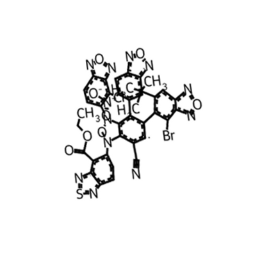 CCOC(=O)c1c(N2ON(c3ccc4nonc4c3Cl)c3c(-c4cc5nonc5cc4[N+](=O)[O-])c(-c4c(C(C)(C)C)cc5nonc5c4Br)[c]c(C#N)c32)ccc2nsnc12